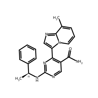 Cc1cccn2c(-c3nc(N[C@@H](C)c4ccccc4)ncc3C(N)=O)cnc12